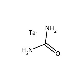 NC(N)=O.[Ta]